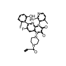 C#CC(=O)N1CCN(n2c(=O)c(=O)n(-c3c(C)ccnc3C(C)C)c3nc(-c4c(O)cccc4F)c(F)cc32)CC1